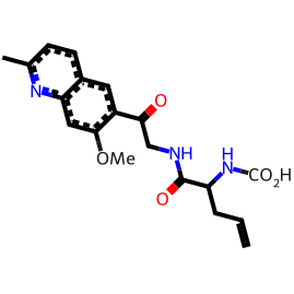 C=CCC(NC(=O)O)C(=O)NCC(=O)c1cc2ccc(C)nc2cc1OC